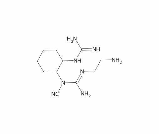 N#CN(C(N)=NCCN)C1[CH]CCCC1NC(=N)N